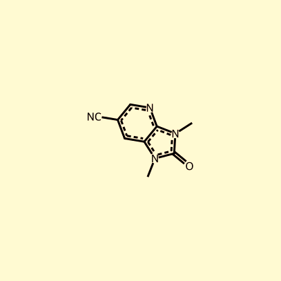 Cn1c(=O)n(C)c2ncc(C#N)cc21